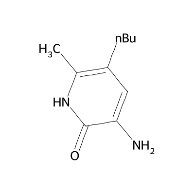 CCCCc1cc(N)c(=O)[nH]c1C